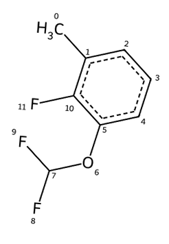 Cc1cccc(OC(F)F)c1F